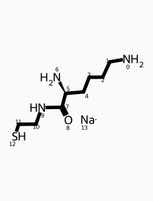 NCCCC[C@H](N)C(=O)NCCS.[Na]